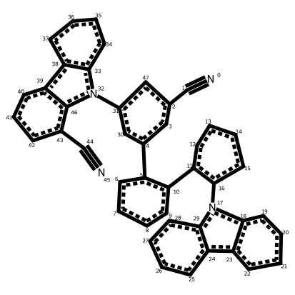 N#Cc1cc(-c2ccccc2-c2ccccc2-n2c3ccccc3c3ccccc32)cc(-n2c3ccccc3c3cccc(C#N)c32)c1